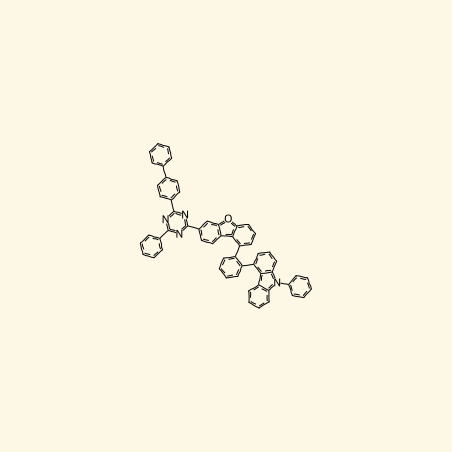 c1ccc(-c2ccc(-c3nc(-c4ccccc4)nc(-c4ccc5c(c4)oc4cccc(-c6ccccc6-c6cccc7c6c6ccccc6n7-c6ccccc6)c45)n3)cc2)cc1